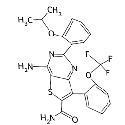 CC(C)Oc1ccccc1-c1nc(N)c2sc(C(N)=O)c(-c3ccccc3OC(F)(F)F)c2n1